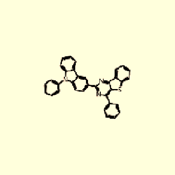 c1ccc(-c2nc(-c3ccc4c(c3)c3ccccc3n4-c3ccccc3)nc3c2sc2ccccc23)cc1